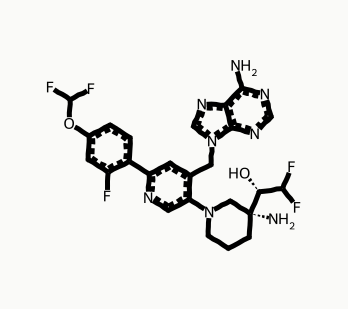 Nc1ncnc2c1ncn2Cc1cc(-c2ccc(OC(F)F)cc2F)ncc1N1CCC[C@](N)([C@H](O)C(F)F)C1